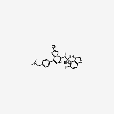 BC(B)(Nc1ncc(-c2ccc(CN(C)C)cc2)c2nc(C#N)cn12)c1c(F)ccc2c1CCO2